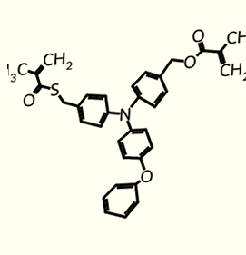 C=C(C)C(=O)OCc1ccc(N(c2ccc(CSC(=O)C(=C)C)cc2)c2ccc(Oc3ccccc3)cc2)cc1